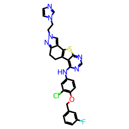 Fc1cccc(COc2ccc(Nc3ncnc4sc5c(c34)CCc3nn(CCn4ccnc4)cc3-5)cc2Cl)c1